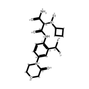 CCN(C1CCC1)[C@H](C(N)=O)C(=O)Nc1ccc(N2CCOCC2=O)cc1C(F)F